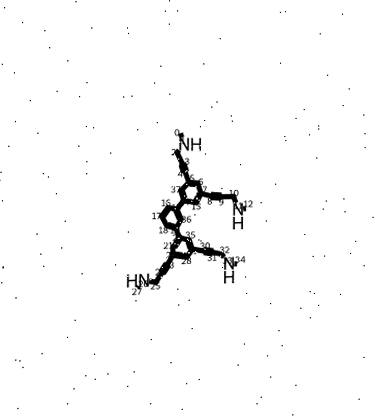 CNCC#Cc1cc(C#CCNC)cc(-c2cccc(-c3cc(C#CCNC)cc(C#CCNC)c3)c2)c1